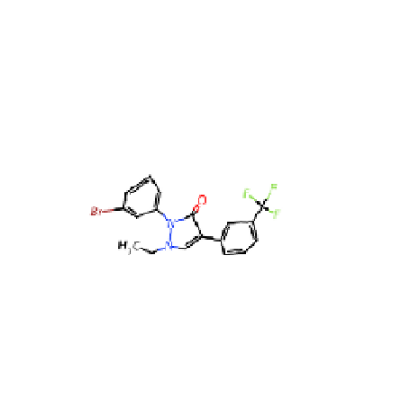 CCn1cc(-c2cccc(C(F)(F)F)c2)c(=O)n1-c1cccc(Br)c1